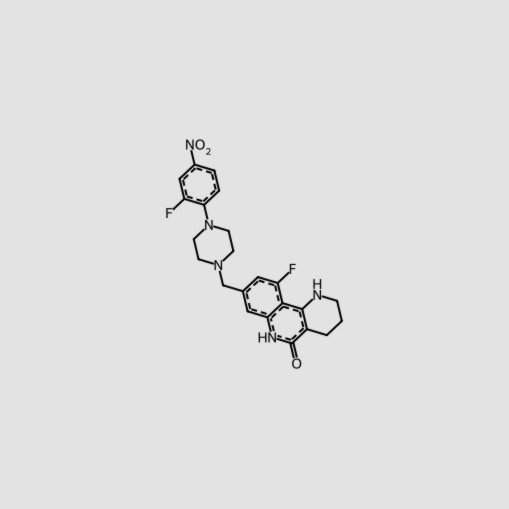 O=c1[nH]c2cc(CN3CCN(c4ccc([N+](=O)[O-])cc4F)CC3)cc(F)c2c2c1CCCN2